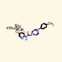 Cc1ccc(N2CCN(CC(=O)Nc3ccc(O[Si](C)(C)C(C)(C)C)cn3)CC2)cc1